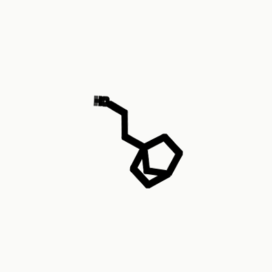 OCCC12CCC(CC1)C2